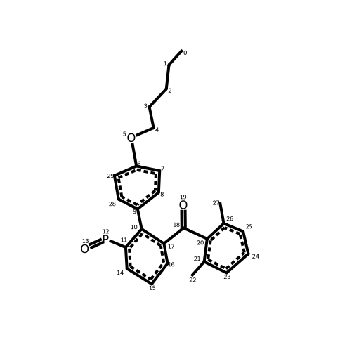 CCCCCOc1ccc(-c2c(P=O)cccc2C(=O)c2c(C)cccc2C)cc1